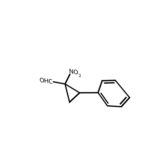 O=CC1([N+](=O)[O-])CC1c1ccccc1